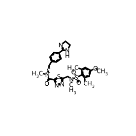 COc1cc(C)c(S(=O)(=O)N(C)Cc2nnc(C(=O)N(C)CCc3ccc(C4=NCCN4)cc3)s2)c(C)c1